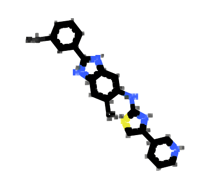 COc1cccc(-c2nc3cc(Nc4nc(-c5cccnc5)cs4)c(C)cc3[nH]2)c1